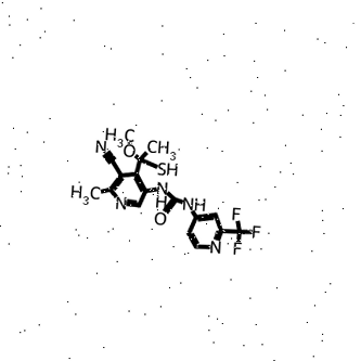 COC(C)(S)c1c(NC(=O)Nc2ccnc(C(F)(F)F)c2)cnc(C)c1C#N